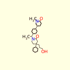 C[C@@H](c1ccc(-c2ccc(=O)n(C)c2)cc1)N1CCC(CCCO)(c2ccccc2)CC1=O